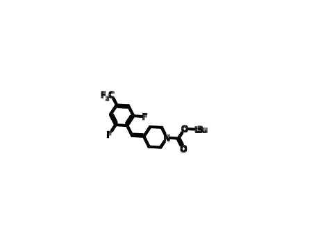 CC(C)(C)OC(=O)N1CCC(=Cc2c(F)cc(C(F)(F)F)cc2F)CC1